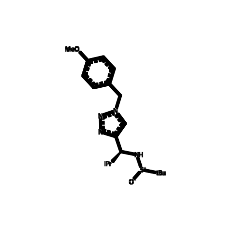 COc1ccc(Cn2cc([C@@H](N[S+]([O-])C(C)(C)C)C(C)C)nn2)cc1